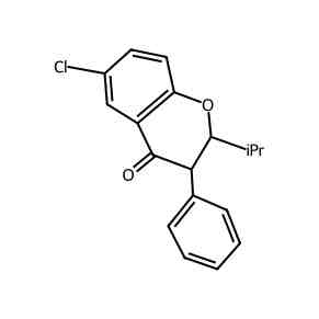 CC(C)C1Oc2ccc(Cl)cc2C(=O)C1c1ccccc1